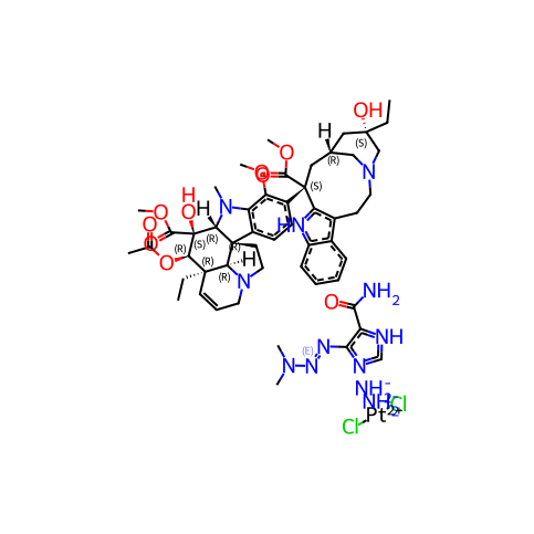 CC[C@]1(O)C[C@@H]2CN(CCc3c([nH]c4ccccc34)[C@@](C(=O)OC)(c3ccc4c(c3OC)N(C)[C@H]3[C@@](O)(C(=O)OC)[C@H](OC(C)=O)[C@]5(CC)C=CCN6CC[C@]43[C@@H]65)C2)C1.CN(C)/N=N/c1nc[nH]c1C(N)=O.[Cl][Pt+2][Cl].[NH2-].[NH2-]